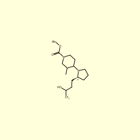 CC1CN(C(=O)OC(C)(C)C)CCC1N1CCC[C@H]1CCC(O)C(F)(F)F